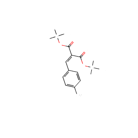 CC[Si](C)(C)OC(=O)C(=Cc1ccc(OC)cc1)C(=O)O[Si](C)(C)CC